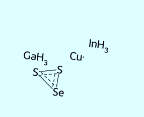 [Cu].[GaH3].[InH3].s1s[se]1